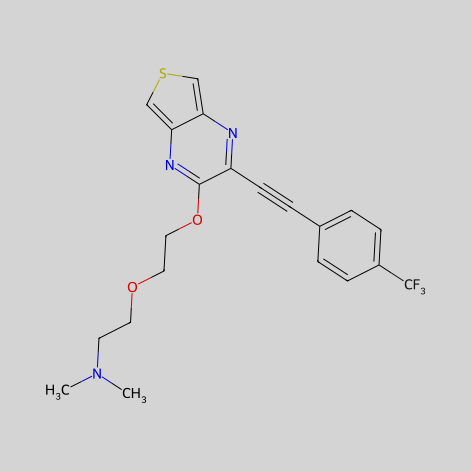 CN(C)CCOCCOc1nc2cscc2nc1C#Cc1ccc(C(F)(F)F)cc1